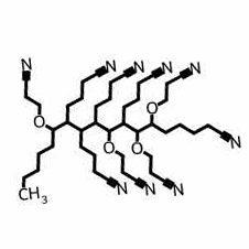 CCCCCC(OCCC#N)C(CCCC#N)C(CCCC#N)C(CCCC#N)C(OCCC#N)C(CCCC#N)C(OCCC#N)C(CCCCC#N)OCCC#N